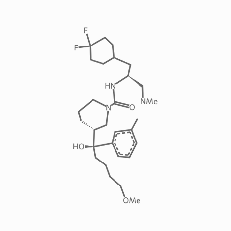 CNC[C@H](CC1CCC(F)(F)CC1)NC(=O)N1CCC[C@@H]([C@@](O)(CCCCOC)c2cccc(C)c2)C1